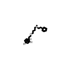 CN(CCCCOCC[C@@H]1CC[C@H]2C[C@H]1C2(C)C)CCc1ccccc1